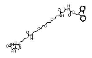 C[C@@H](CC(=O)NCCOCCOCCOCCNC(=O)CCCC[C@@H]1SC[C@H]2NC(=O)N[C@@H]12)NC(=O)OCC1c2ccccc2-c2ccccc21